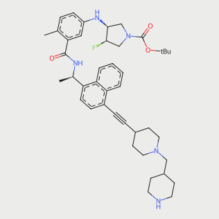 Cc1ccc(N[C@H]2CN(C(=O)OC(C)(C)C)C[C@H]2F)cc1C(=O)N[C@H](C)c1ccc(C#CC2CCN(CC3CCNCC3)CC2)c2ccccc12